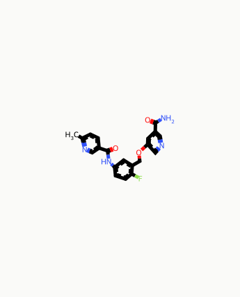 Cc1ccc(C(=O)Nc2ccc(F)c(COc3cncc(C(N)=O)c3)c2)cn1